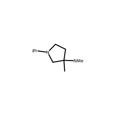 CNC1(C)CCN(C(C)C)C1